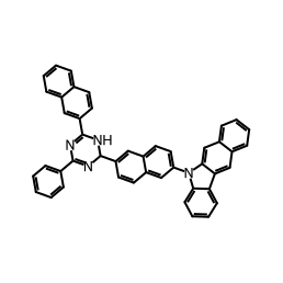 c1ccc(C2=NC(c3ccc4cc(-n5c6ccccc6c6cc7ccccc7cc65)ccc4c3)NC(c3ccc4ccccc4c3)=N2)cc1